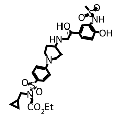 CCOC(=O)CN(CC1CC1)S(=O)(=O)c1ccc(N2CCC(NC[C@@H](O)c3ccc(O)c(NS(C)(=O)=O)c3)CC2)cc1